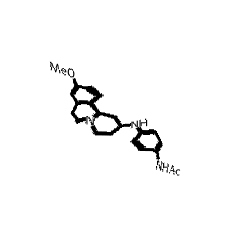 COc1ccc2c(c1)CCN1CCC(Nc3ccc(NC(C)=O)cc3)CC21